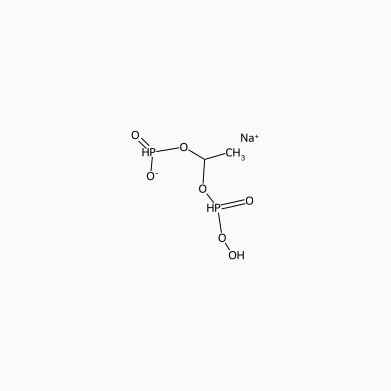 CC(O[PH](=O)[O-])O[PH](=O)OO.[Na+]